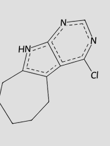 Clc1ncnc2[nH]c3c(c12)CCCCC3